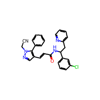 N#CCn1ncc(/C=C/C(=O)NC(Cc2ccccn2)c2cccc(Cl)c2)c1-c1ccccc1